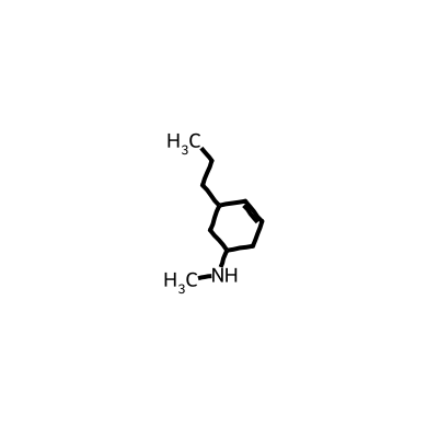 CCCC1C=CCC(NC)C1